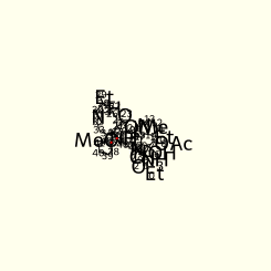 CCC(=O)NCC1(O)[C@H](OC(C)=O)[C@]2(CC)C=CCN3CC[C@@]4(c5cc([C@@]6(C(=O)OC)C[C@@H]7C=C(CC)CN(CCc8c6[nH]c6ccccc86)C7)c(OC)cc5N(C)[C@@H]14)C32